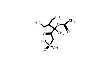 CCC(CC)C(C)(OC(C)=O)C(=O)CP(=O)(O)O